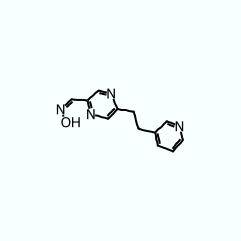 O/N=C\c1cnc(CCc2cccnc2)cn1